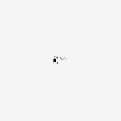 C#C.[Ru].[Ru]